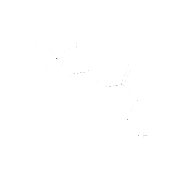 CCOC(=S)SSSC(C)(C)C